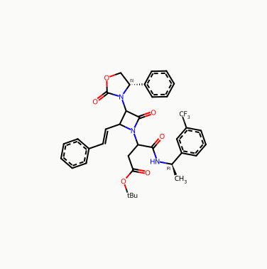 C[C@@H](NC(=O)C(CC(=O)OC(C)(C)C)N1C(=O)C(N2C(=O)OC[C@@H]2c2ccccc2)C1C=Cc1ccccc1)c1cccc(C(F)(F)F)c1